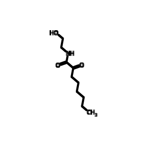 CCCCCCC(=O)C(=O)NCCO